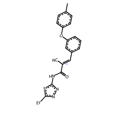 CCc1nnc(NC(=O)/C(C#N)=C/c2cccc(Oc3ccc(C)cc3)c2)s1